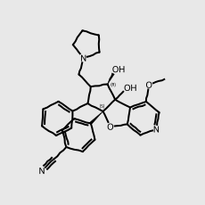 COc1cncc2c1C1(O)[C@H](O)C(CN3CCCC3)C(c3ccccc3)[C@@]1(c1ccc(C#N)cc1)O2